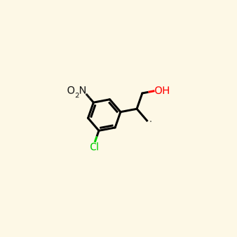 [CH2]C(CO)c1cc(Cl)cc([N+](=O)[O-])c1